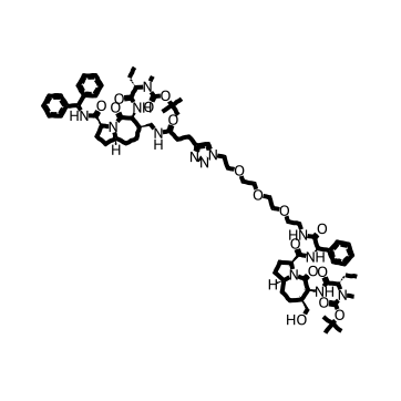 CC[C@@H](C(=O)N[C@@H]1C(=O)N2[C@@H](CC[C@@H]1CNC(=O)CCc1cn(CCOCCOCCOCCNC(=O)[C@@H](NC(=O)[C@@H]3CC[C@@H]4CC[C@H](CO)[C@H](NC(=O)[C@H](CC)N(C)C(=O)OC(C)(C)C)C(=O)N43)c3ccccc3)nn1)CC[C@H]2C(=O)NC(c1ccccc1)c1ccccc1)N(C)C(=O)OC(C)(C)C